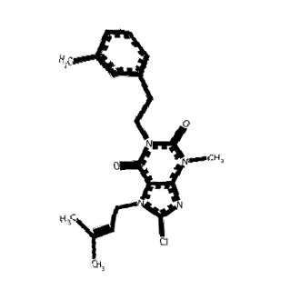 CC(C)=CCn1c(Cl)nc2c1c(=O)n(CCc1cccc(C)c1)c(=O)n2C